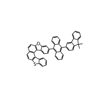 CC1(C)c2ccccc2-c2cc(-c3c4ccccc4c(-c4ccc5c(c4)oc4ccc6ccc7sc8ccccc8c7c6c45)c4ccccc34)ccc21